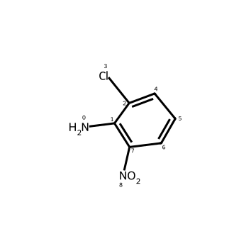 Nc1c(Cl)cccc1[N+](=O)[O-]